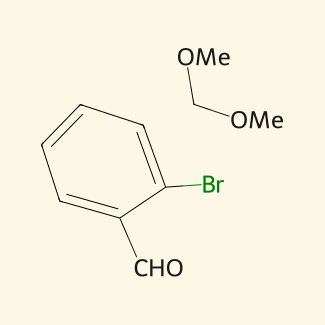 COCOC.O=Cc1ccccc1Br